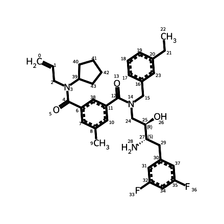 C=CCN(C(=O)c1cc(C)cc(C(=O)N(Cc2cccc(CC)c2)C[C@@H](O)[C@@H](N)Cc2cc(F)cc(F)c2)c1)C1CCCC1